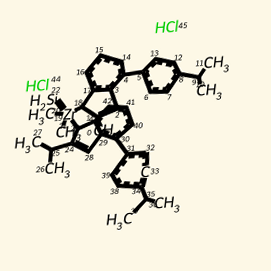 CC1=Cc2c(-c3ccc(C(C)C)cc3)cccc2[CH]1[Zr]([CH3])([CH3])(=[SiH2])[CH]1C(C(C)C)=Cc2c(-c3ccc(C(C)C)cc3)cccc21.Cl.Cl